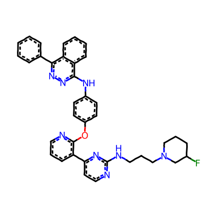 FC1CCCN(CCCNc2nccc(-c3cccnc3Oc3ccc(Nc4nnc(-c5ccccc5)c5ccccc45)cc3)n2)C1